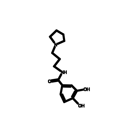 O=C(NCCCN1CCCC1)c1ccc(O)c(O)c1